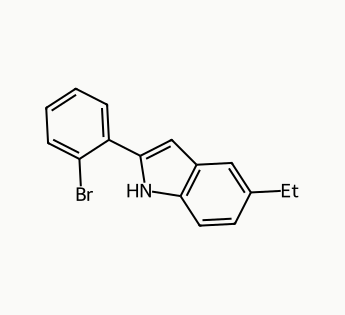 CCc1ccc2[nH]c(-c3ccccc3Br)cc2c1